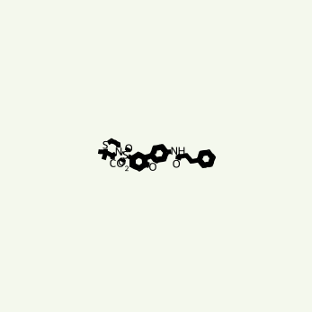 CC1(C)SCCN(S(=O)(=O)c2ccc3oc4cc(NC(=O)CCc5ccccc5)ccc4c3c2)C1C(=O)O